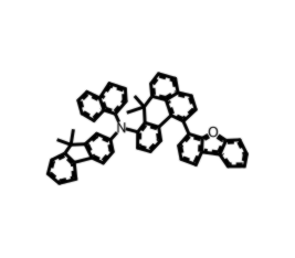 CC1(C)c2ccccc2-c2ccc(N(c3cccc4c3C(C)(C)c3cccc5ccc(-c6cccc7c6oc6ccccc67)c-4c35)c3cccc4ccccc34)cc21